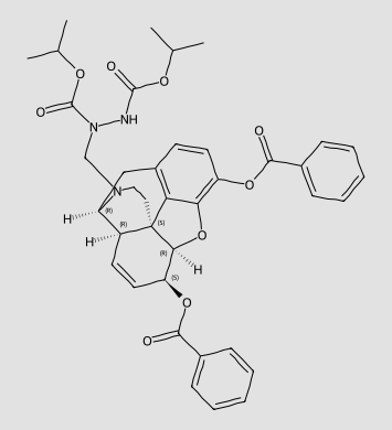 CC(C)OC(=O)NN(CN1CC[C@]23c4c5ccc(OC(=O)c6ccccc6)c4O[C@H]2[C@@H](OC(=O)c2ccccc2)C=C[C@H]3[C@H]1C5)C(=O)OC(C)C